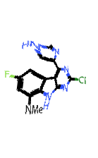 CNc1cc(F)cc2c1[nH]c1nc(Cl)nc(-c3c[nH]cn3)c12